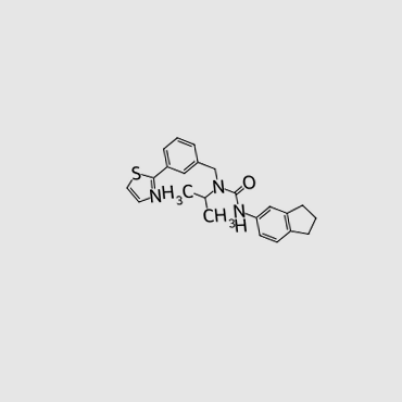 CC(C)N(Cc1cccc(-c2nccs2)c1)C(=O)Nc1ccc2c(c1)CCC2